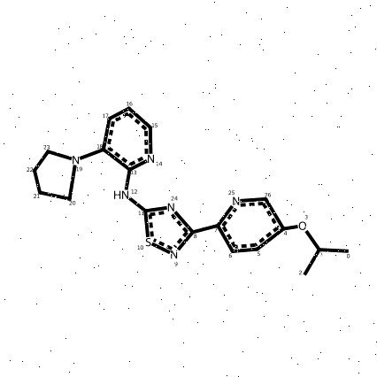 CC(C)Oc1ccc(-c2nsc(Nc3ncccc3N3CCCC3)n2)nc1